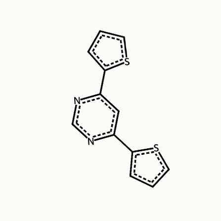 c1csc(-c2cc(-c3cccs3)ncn2)c1